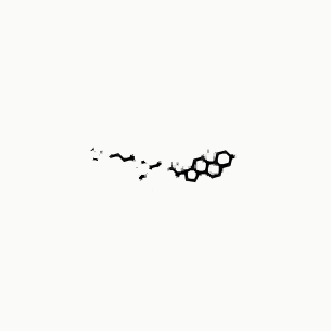 CC(=O)N[C@@H](CSC(=O)CCCO[N+](=O)[O-])C(=O)OCC(=O)[C@@]1(O)CC[C@H]2[C@@H]3CCC4=CC(=O)CC[C@]4(C)[C@H]3C(O)C[C@@]21C